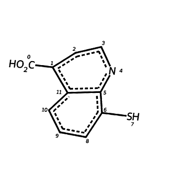 O=C(O)c1ccnc2c(S)cccc12